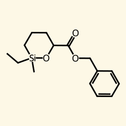 CC[Si]1(C)CCCC(C(=O)OCc2ccccc2)O1